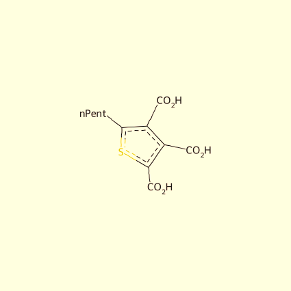 CCCCCc1sc(C(=O)O)c(C(=O)O)c1C(=O)O